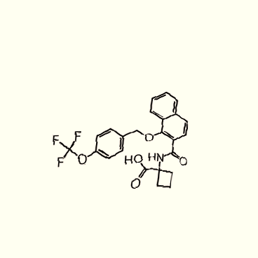 O=C(NC1(C(=O)O)CCC1)c1ccc2ccccc2c1OCc1ccc(OC(F)(F)F)cc1